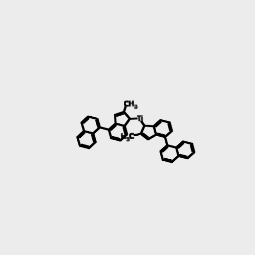 CC1=Cc2c(-c3cccc4ccccc34)cccc2[CH]1[Ti][CH]1C(C)=Cc2c(-c3cccc4ccccc34)cccc21